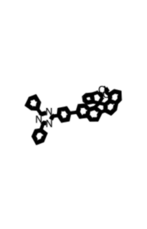 c1ccc(-c2nc(-c3ccccc3)nc(-c3ccc(-c4ccc5c6c(ccc5c4)-c4ccc5ccccc5c4C64c5ccccc5-c5ccccc54)cc3)n2)cc1